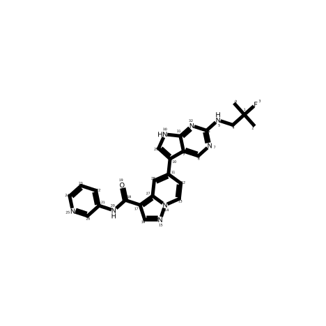 CC(C)(F)CNc1ncc2c(-c3ccn4ncc(C(=O)Nc5cccnc5)c4c3)c[nH]c2n1